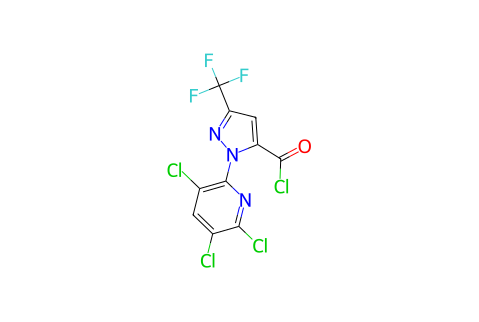 O=C(Cl)c1cc(C(F)(F)F)nn1-c1nc(Cl)c(Cl)cc1Cl